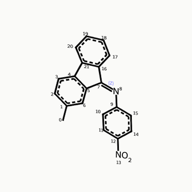 Cc1ccc2c(c1)/C(=N\c1ccc([N+](=O)[O-])cc1)c1ccccc1-2